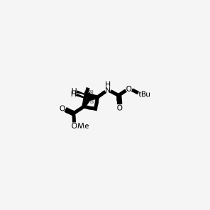 COC(=O)C12CC(NC(=O)OC(C)(C)C)([C@H]1C)[C@H]2C